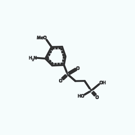 COc1ccc(S(=O)(=O)CCP(=O)(O)O)cc1N